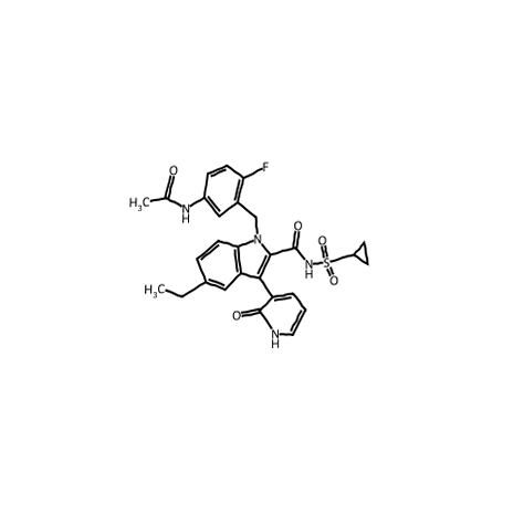 CCc1ccc2c(c1)c(-c1ccc[nH]c1=O)c(C(=O)NS(=O)(=O)C1CC1)n2Cc1cc(NC(C)=O)ccc1F